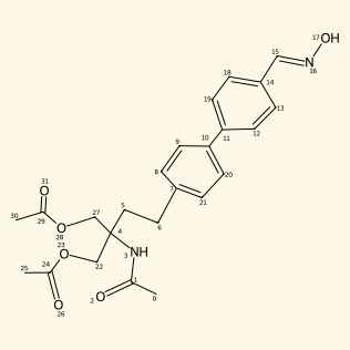 CC(=O)NC(CCc1ccc(-c2ccc(C=NO)cc2)cc1)(COC(C)=O)COC(C)=O